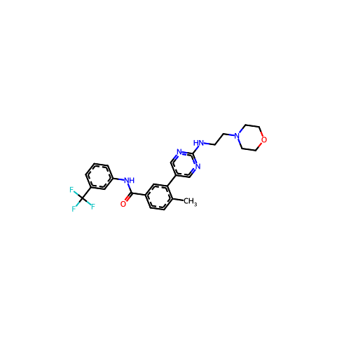 Cc1ccc(C(=O)Nc2cccc(C(F)(F)F)c2)cc1-c1cnc(NCCN2CCOCC2)nc1